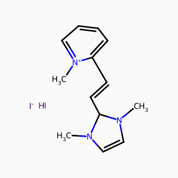 CN1C=CN(C)C1C=Cc1cccc[n+]1C.I.[I-]